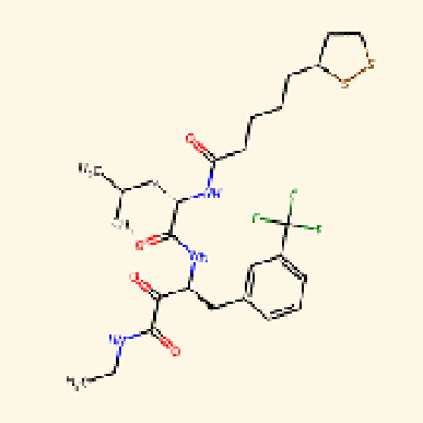 CCNC(=O)C(=O)[C@H](Cc1cccc(C(F)(F)F)c1)NC(=O)[C@H](CC(C)C)NC(=O)CCCCC1CCSS1